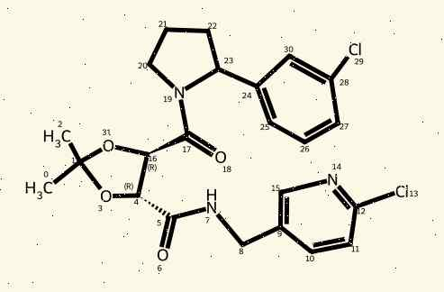 CC1(C)O[C@@H](C(=O)NCc2ccc(Cl)nc2)[C@H](C(=O)N2CCCC2c2cccc(Cl)c2)O1